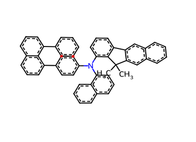 CC1(C)c2cc3ccccc3cc2-c2cccc(N(c3ccc(-c4cccc5cccc(-c6ccccc6)c45)cc3)c3cccc4ccccc34)c21